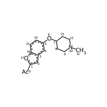 CC(=O)c1cc2cc(OC3CCN(C)CC3)ccc2o1